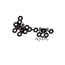 CC1(C)c2cccc(P(=O)(c3ccccc3)c3ccccc3)c2Oc2c1cccc2P(=O)(c1ccccc1)c1ccc(-c2ccc3cc(P(=O)(c4ccc5ccccc5c4)c4ccc5ccccc5c4-c4c(P(=O)(c5ccc6ccccc6c5)c5ccc6ccccc6c5)ccc5ccccc45)ccc3c2)cc1